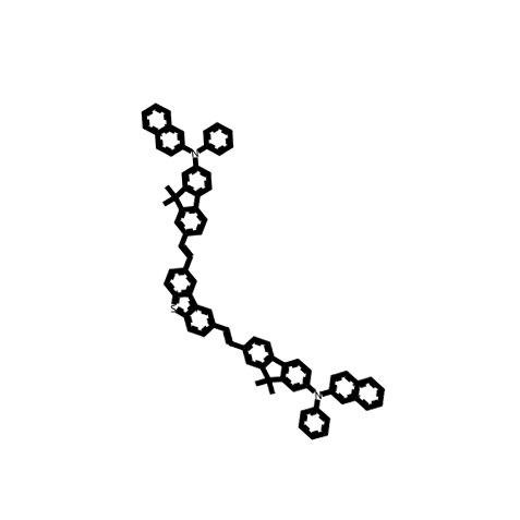 CC1(C)c2cc(/C=C/c3ccc4sc5ccc(/C=C/c6ccc7c(c6)C(C)(C)c6cc(N(c8ccccc8)c8ccc9ccccc9c8)ccc6-7)cc5c4c3)ccc2-c2ccc(N(c3ccccc3)c3ccc4ccccc4c3)cc21